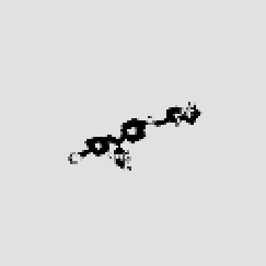 Clc1ccc(C=C(c2ccc(OCc3ccn4nccc4n3)cc2)c2nnco2)cc1